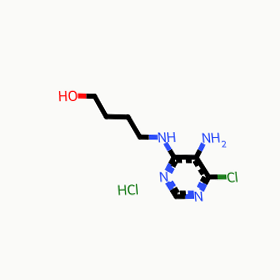 Cl.Nc1c(Cl)ncnc1NCCCCO